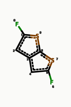 Fc1cc2cc(F)sc2s1